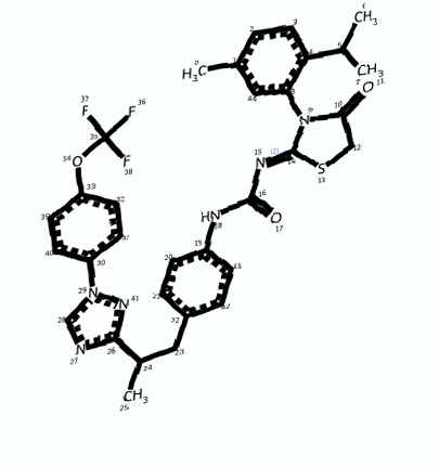 Cc1ccc(C(C)C)c(N2C(=O)CS/C2=N\C(=O)Nc2ccc(CC(C)c3ncn(-c4ccc(OC(F)(F)F)cc4)n3)cc2)c1